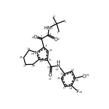 CC(C)(C)NC(=O)C(=O)c1cc(C(=O)Nc2ccc(F)c(Cl)c2)c2n1CCCC2